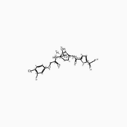 O=C(COc1ccc(Cl)c(F)c1)NC12CCC(NC(=O)c3ccc(C(F)F)s3)(CC1)C[C@@H]2O